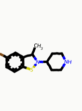 CC1c2cc(Br)ccc2SN1C1CCNCC1